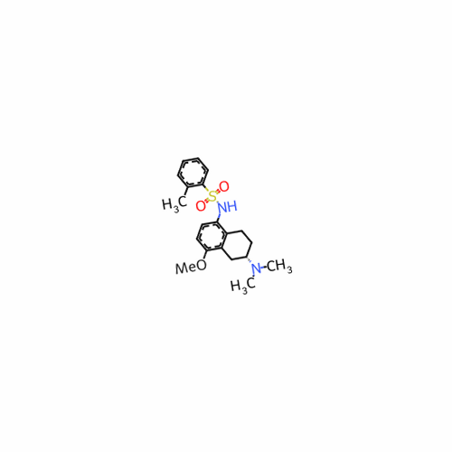 COc1ccc(NS(=O)(=O)c2ccccc2C)c2c1C[C@@H](N(C)C)CC2